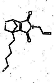 C=CCN1C(=O)C2=C(C1=O)C1(CCCCCC)CCC2C1